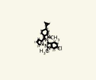 CN1C2=CC(C3CC3)CCC2=C(C2=NCC=C2)N1c1nn(C)c2cc(Cl)ccc12